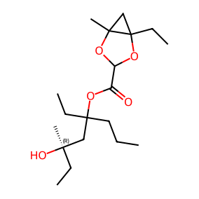 CCCC(CC)(C[C@](C)(O)CC)OC(=O)C1OC2(C)CC2(CC)O1